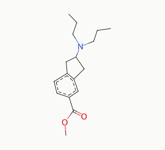 CCCN(CCC)C1Cc2ccc(C(=O)OC)cc2C1